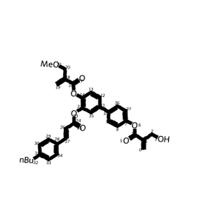 C=C(CO)C(=O)Oc1ccc(-c2ccc(OC(=O)C(=C)COC)c(OC(=O)/C=C/c3ccc(CCCC)cc3)c2)cc1